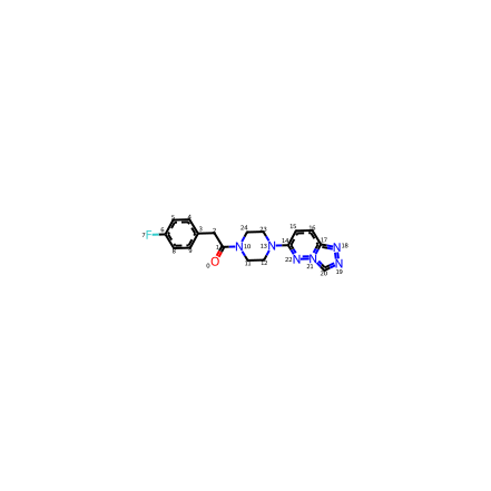 O=C(Cc1ccc(F)cc1)N1CCN(c2ccc3nncn3n2)CC1